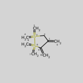 C=C1CS(=C)(=C)S(=C)(=C)C1=C